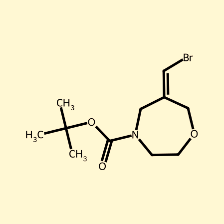 CC(C)(C)OC(=O)N1CCOCC(=CBr)C1